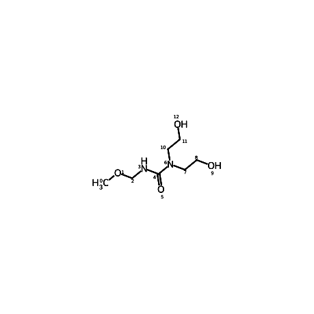 COCNC(=O)N(CCO)CCO